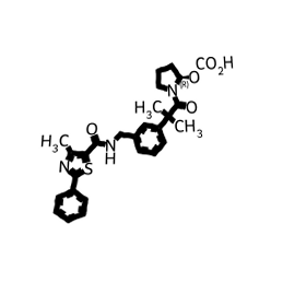 Cc1nc(-c2ccccc2)sc1C(=O)NCc1cccc(C(C)(C)C(=O)N2CCC[C@H]2OC(=O)O)c1